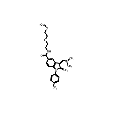 C=c1/c(=C\N(C)C)c2cc(C(=O)NCCOCCOCCCCCCCC)ccc2n1-c1ccc(C(F)(F)F)cc1